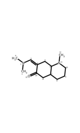 CN(C)/C=C1/CC2C(CCCN2C)CC1=O